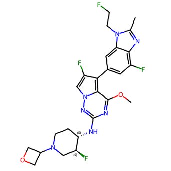 COc1nc(N[C@H]2CCN(C3COC3)C[C@@H]2F)nn2cc(F)c(-c3cc(F)c4nc(C)n(CCF)c4c3)c12